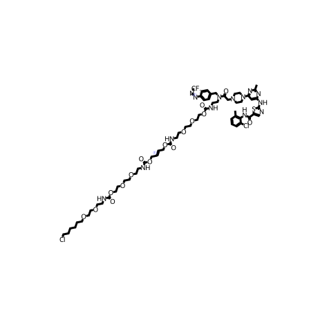 Cc1nc(Nc2ncc(C(=O)Nc3c(C)cccc3Cl)s2)cc(N2CCN(CC(=O)N(CCNC(=O)OCCOCCOCCNC(=O)OC/C=C/COC(=O)NCCOCCOCCOC(=O)NCCOCCOCCCCCCCl)Cc3ccc(/N=N\C(F)(F)F)cc3)CC2)n1